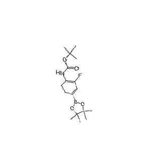 CC(C)(C)OC(=O)NC1=C(F)C=C(B2OC(C)(C)C(C)(C)O2)CC1